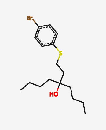 CCCCC(O)(CCCC)CCSc1ccc(Br)cc1